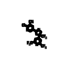 N#Cc1cc(C2=NCC(c3cc(C(F)(F)F)nc(C(F)(F)F)c3)(C(F)(F)F)C2)cnc1Cl